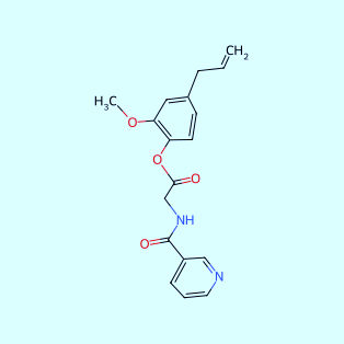 C=CCc1ccc(OC(=O)CNC(=O)c2cccnc2)c(OC)c1